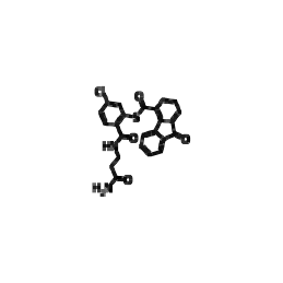 NC(=O)CCNC(=O)c1ccc(Cl)cc1SC(=O)c1cccc2c1-c1ccccc1C2=O